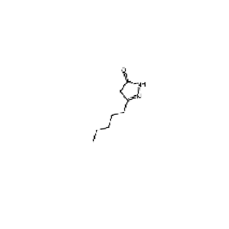 CCCCCC1=NNC(=O)C1